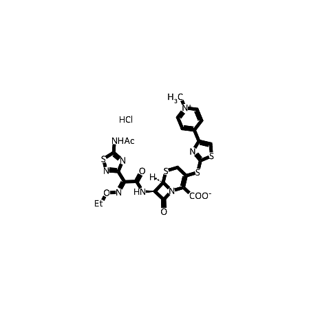 CCON=C(C(=O)N[C@@H]1C(=O)N2C(C(=O)[O-])=C(Sc3nc(-c4cc[n+](C)cc4)cs3)CS[C@H]12)c1nsc(NC(C)=O)n1.Cl